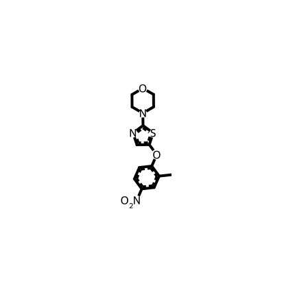 Cc1cc([N+](=O)[O-])ccc1Oc1cnc(N2CCOCC2)s1